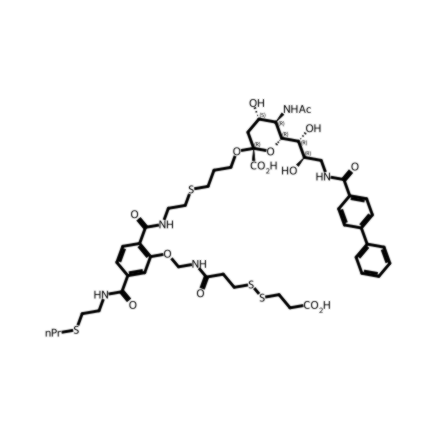 CCCSCCNC(=O)c1ccc(C(=O)NCCSCCCO[C@]2(C(=O)O)C[C@H](O)[C@@H](NC(C)=O)[C@H]([C@H](O)[C@H](O)CNC(=O)c3ccc(-c4ccccc4)cc3)O2)c(OCNC(=O)CCSSCCC(=O)O)c1